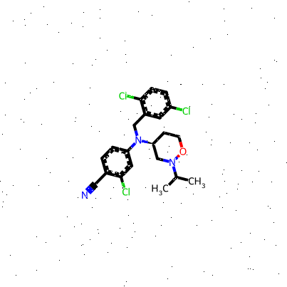 CC(C)N1C[C@@H](N(Cc2cc(Cl)ccc2Cl)c2ccc(C#N)c(Cl)c2)CCO1